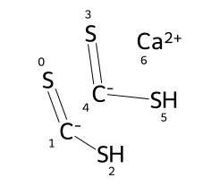 S=[C-]S.S=[C-]S.[Ca+2]